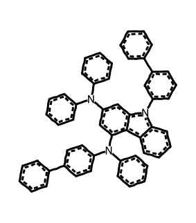 c1ccc(-c2ccc(N(c3ccccc3)c3cc(N(c4ccccc4)c4ccccc4)cc4c3c3ccccc3n4-c3cccc(-c4ccccc4)c3)cc2)cc1